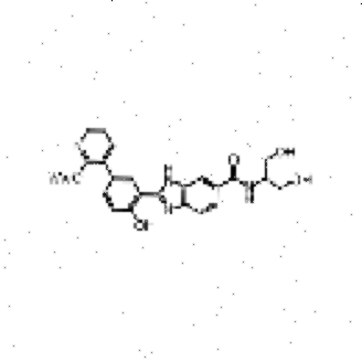 COc1ncccc1-c1ccc(O)c(-c2nc3ccc(C(=O)NC(CO)CO)cc3[nH]2)c1